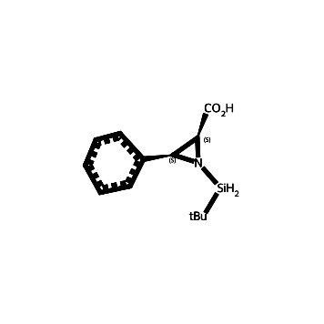 CC(C)(C)[SiH2]N1[C@H](C(=O)O)[C@@H]1c1ccccc1